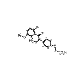 CCCOc1ccc(F)c2c(=O)c(-c3ccc(OCC(=O)O)cc3)c[nH]c12